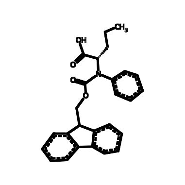 CCC[C@@H](C(=O)O)N(C(=O)OCC1c2ccccc2-c2ccccc21)c1ccccc1